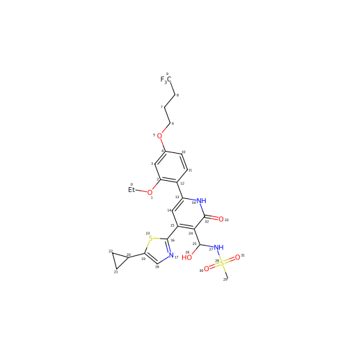 CCOc1cc(OCCCC(F)(F)F)ccc1-c1cc(-c2ncc(C3CC3)s2)c(C(O)NS(C)(=O)=O)c(=O)[nH]1